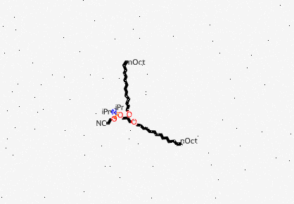 CCCCCCCC/C=C\CCCCCCCCCCCCOCC(COP(OCCC#N)N(C(C)C)C(C)C)OCCCCCCCCCCCC/C=C\CCCCCCCC